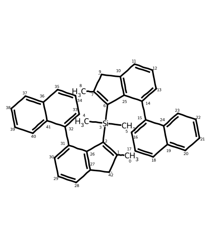 CC1=C([Si](C)(C)C2=C(C)[CH]c3cccc(-c4cccc5ccccc45)c32)c2c(cccc2-c2cccc3ccccc23)[CH]1